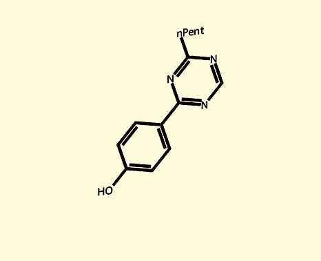 CCCCCc1ncnc(-c2ccc(O)cc2)n1